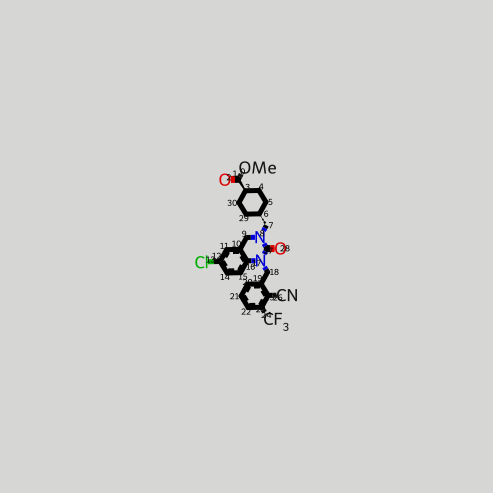 COC(=O)[C@H]1CC[C@H](CN2Cc3cc(Cl)ccc3N(Cc3cccc(C(F)(F)F)c3C#N)C2=O)CC1